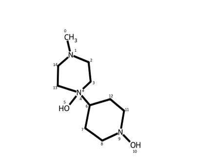 CN1CC[N+](O)(C2CCN(O)CC2)CC1